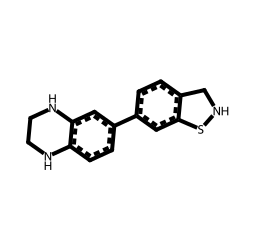 c1cc2c(cc1-c1ccc3c(c1)SNC3)NCCN2